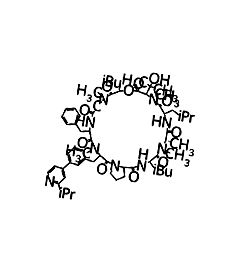 CCC(C)C1NC(=O)C2CCCN2C(=O)C(Cc2cccc(-c3ccnc(C(C)C)c3)c2)N(C)C(=O)C(Cc2ccccc2)NC(=O)CN(C)C(=O)[C@@H](C(C)CC)OC(=O)C(C(C)(C)O)N(C)C(=O)C(CC(C)C)NC(=O)[C@H](C)N(C)C1=O